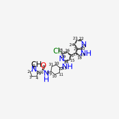 CN1CCC[C@H]1C(=O)NC1CCC(Nc2cc(-c3c[nH]c4ncccc34)cc(Cl)n2)CC1